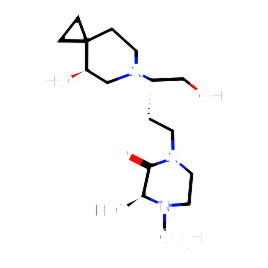 C[C@H]1C(=O)N(CC[C@@H](CO)N2CCC3(CC3)[C@H](O)C2)CCN1C(=O)O